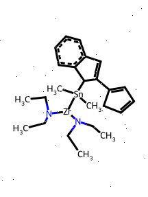 CC[N](CC)[Zr]([N](CC)CC)[Sn]([CH3])([CH3])[CH]1C(C2=CC=CC2)=Cc2ccccc21